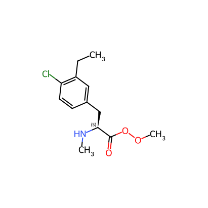 CCc1cc(C[C@H](NC)C(=O)OOC)ccc1Cl